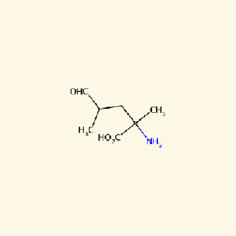 CC(C=O)CC(C)(N)C(=O)O